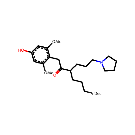 CCCCCCCCCCCCCC(CCCN1CCCC1)C(=O)Cc1c(OC)cc(O)cc1OC